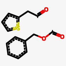 O=[C]Cc1cccs1.O=[C]OCc1ccccc1